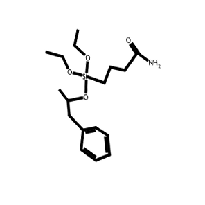 CCO[Si](CCCC(N)=O)(OCC)OC(C)Cc1ccccc1